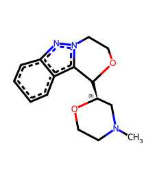 CN1CCO[C@@H](C2OCCn3nc4ccccc4c32)C1